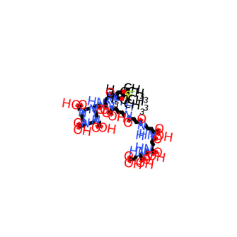 CC(C)(C)S(F)(c1ccc(C(=O)NCC(NC(=O)CN2CCN(CC(=O)O)CCN(CC(=O)O)CCN(CC(=O)O)CC2)C(=O)NC(CCCCNC(=O)CCC(=O)NCCCC(NC(=O)CC[C@H](NC(=O)N[C@@H](CCC(=O)O)C(=O)O)C(=O)O)C(=O)O)C(=O)O)cc1)C(C)(C)C